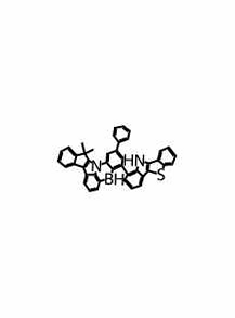 CC1(C)c2ccccc2-c2c1n1c3c(cccc23)Bc2c(-c3cccc4c3[nH]c3c5ccccc5sc43)cc(-c3ccccc3)cc2-1